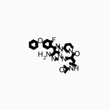 CC(C)(C=C(C#N)C(=O)N1CCC[C@@H](n2nc(-c3ccc(Oc4ccccc4)cc3F)c3c(N)ncnc32)C1)NC1COC1